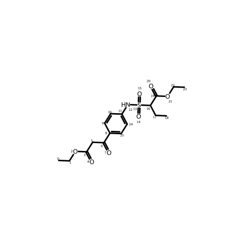 CCOC(=O)CC(=O)c1ccc(NS(=O)(=O)C(CC)C(=O)OCC)cc1